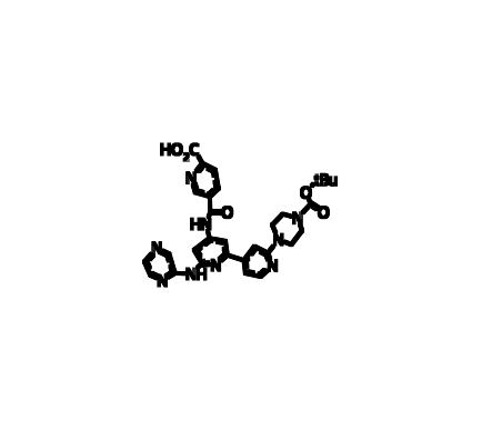 CC(C)(C)OC(=O)N1CCN(c2cc(-c3cc(NC(=O)c4ccc(C(=O)O)nc4)cc(Nc4cnccn4)n3)ccn2)CC1